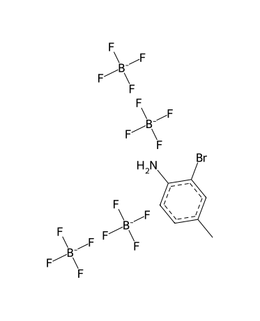 Cc1ccc(N)c(Br)c1.F[B-](F)(F)F.F[B-](F)(F)F.F[B-](F)(F)F.F[B-](F)(F)F